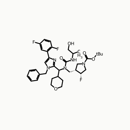 CC(CO)NC(=O)N(C[C@@H]1CN(C(=O)OC(C)(C)C)C[C@@H]1F)C(c1nc(-c2cc(F)ccc2F)cn1Cc1ccccc1)C1CCOCC1